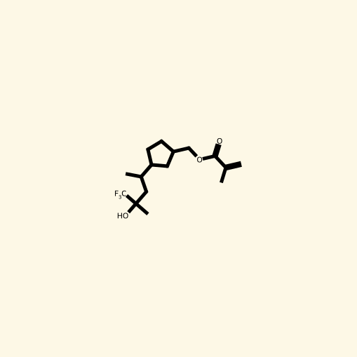 C=C(C)C(=O)OCC1CCC(C(C)CC(C)(O)C(F)(F)F)C1